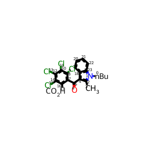 CCCCn1c(C)c(C(=O)c2c(Cl)c(Cl)c(Cl)c(Cl)c2C(=O)O)c2ccccc21